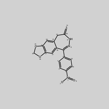 O=[N+]([O-])c1ccc(C2=NNC(=S)Cc3cc4c(cc32)OCO4)cc1